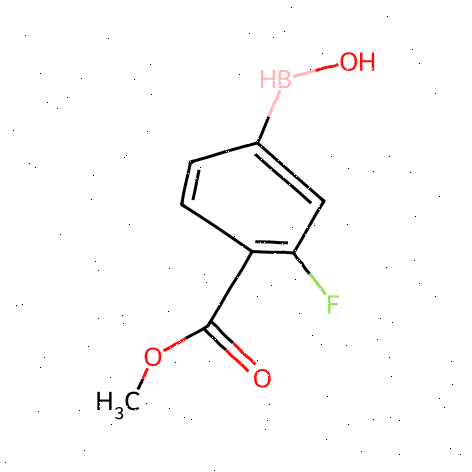 COC(=O)c1ccc(BO)cc1F